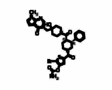 Cn1ccc2c(=O)n(CC3(O)CCN(C(=O)[C@@H]4CCN(C(=O)c5cc(OC(N)=O)c(Br)s5)C[C@H]4c4ccccc4)CC3)cnc21